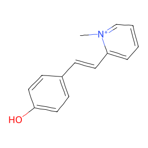 C[n+]1ccccc1C=Cc1ccc(O)cc1